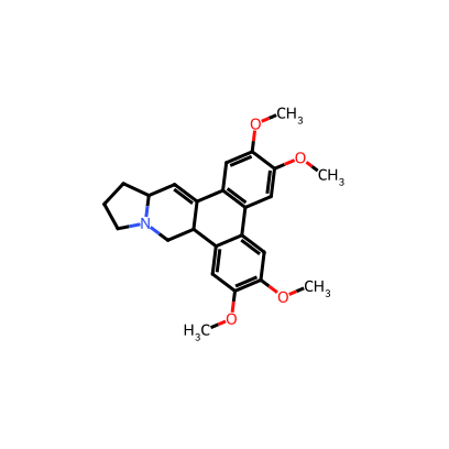 COc1cc2c(cc1OC)-c1cc(OC)c(OC)cc1C1CN3CCCC3C=C21